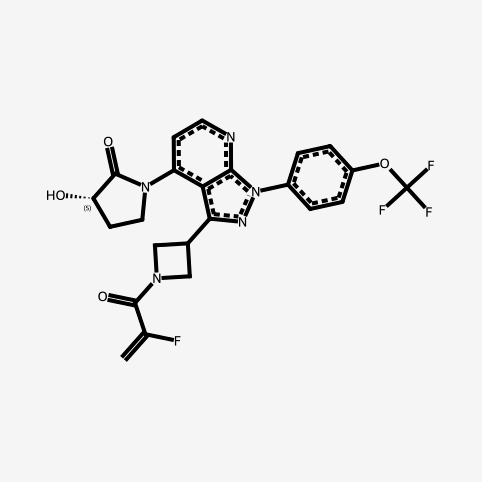 C=C(F)C(=O)N1CC(c2nn(-c3ccc(OC(F)(F)F)cc3)c3nccc(N4CC[C@H](O)C4=O)c23)C1